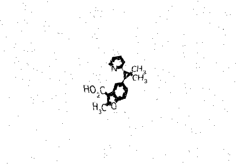 Cc1oc2ccc([C@H]3[C@H](c4ccccn4)C3(C)C)cc2c1C(=O)O